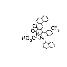 O=C(O)C1CN(Cc2cccc3ccccc23)c2c(-c3cccc(C(F)(F)F)c3)c(Cc3cccc4ccccc34)c(Cl)c(=O)n21